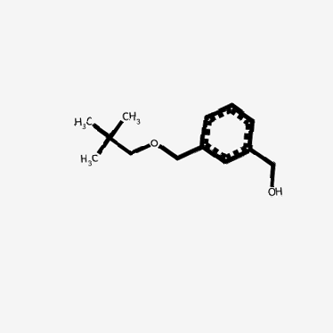 CC(C)(C)COCc1cccc(CO)c1